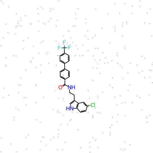 O=C(NCCc1c[nH]c2ccc(Cl)cc12)c1ccc(-c2ccc(C(F)(F)F)cc2)cc1